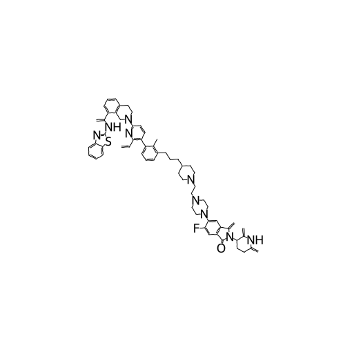 C=Cc1nc(N2CCc3cccc(C(=C)Nc4nc5ccccc5s4)c3C2)ccc1-c1cccc(CCCC2CCN(CCN3CCN(c4cc5c(cc4F)C(=O)N(C4CCC(=C)NC4=C)C5=C)CC3)CC2)c1C